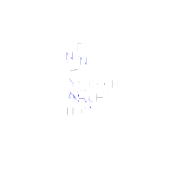 C\N=C/N=C\C(=C\c1cnc(F)nc1)SC(C)(C)C(=O)O